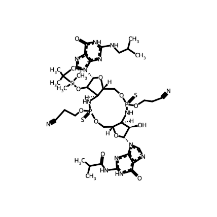 CC(C)CNc1nc2c(ncn2[C@@H]2O[C@@H]3COP(=S)(OCCC#N)N[C@H]4[C@@H](O)[C@H](n5cnc6c(=O)[nH]c(NC(=O)C(C)C)nc65)O[C@@H]4COP(=S)(OCCC#N)N[C@H]3C2O[Si](C)(C)C(C)(C)C)c(=O)[nH]1